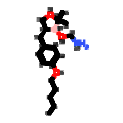 CCCCCOc1ccc(C[C@H]2COC(C)(C)B2OCN)cc1